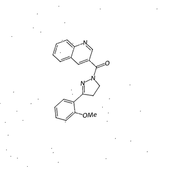 COc1ccccc1C1=NN(C(=O)c2cnc3ccccc3c2)CC1